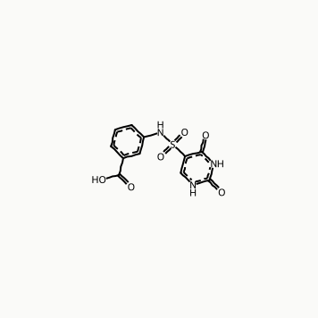 O=C(O)c1cccc(NS(=O)(=O)c2c[nH]c(=O)[nH]c2=O)c1